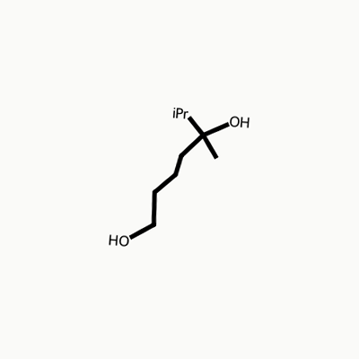 CC(C)C(C)(O)CCCCO